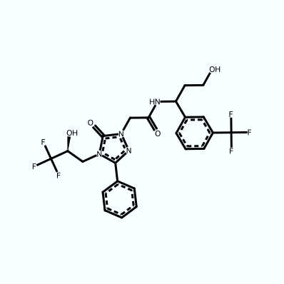 O=C(Cn1nc(-c2ccccc2)n(C[C@H](O)C(F)(F)F)c1=O)NC(CCO)c1cccc(C(F)(F)F)c1